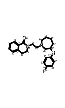 O=C1c2ccccc2CCN1CCN1CCCCC(Oc2ccc(F)cc2)C1